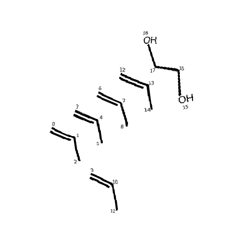 C=CC.C=CC.C=CC.C=CC.C=CC.OCCO